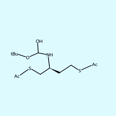 CC(=O)SCC[C@@H](CSC(C)=O)NC(O)OC(C)(C)C